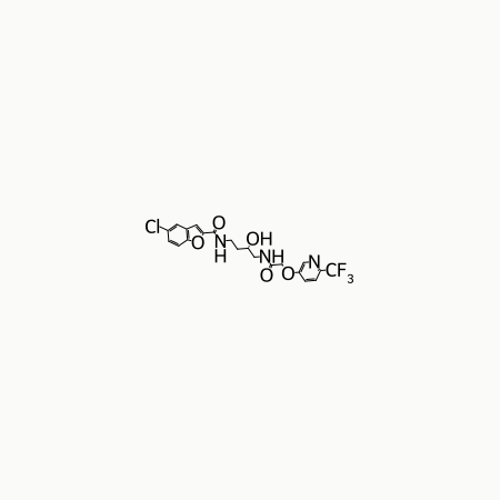 O=C(COc1ccc(C(F)(F)F)nc1)NC[C@@H](O)CCNC(=O)c1cc2cc(Cl)ccc2o1